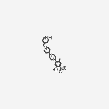 COc1cc(N2CCN(C3CCN(CC4CCNCC4)CC3)CC2)c(C)cc1[N+](=O)[O-]